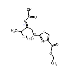 CCOC(=O)c1csc([C@H](O)C/C(=N\S(=O)O)C(C)C)n1